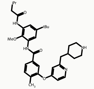 COc1c(NC(=O)CC(C)C)cc(C(C)(C)C)cc1NC(=O)c1ccc(C)c(Oc2ccnc(CC3CCNCC3)c2)c1